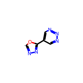 [c]1nnc(-c2cnnnc2)o1